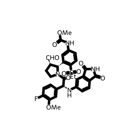 CCS(=O)(=O)c1ccc(NC(=O)OC)cc1[C@H]1[C@@H](C=O)CCN1C(=O)[C@H](Nc1ccc2c(c1)C(=O)NC2=O)c1ccc(F)c(OC)c1